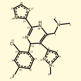 CN(C)CC1=C(c2ccn(C)n2)C(c2ccc(F)cc2Cl)N=C(c2nccs2)N1